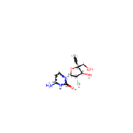 C#C[C@]1(CO)O[C@@H](n2ccc(N)nc2=O)[C@@H](Cl)[C@@H]1O